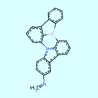 C=Nc1ccc2c(c1)c1cccc3c1n2-c1cccc2c1B3c1ccccc1-2